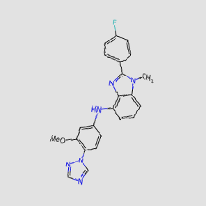 COc1cc(Nc2cccc3c2nc(-c2ccc(F)cc2)n3C)ccc1-n1cncn1